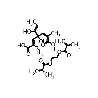 C=C(C)C(=O)OCCOC(=O)C(=C)C.CC=C(O)C(O)(C=C(C)C(=O)O)C=C(C)C(=O)O